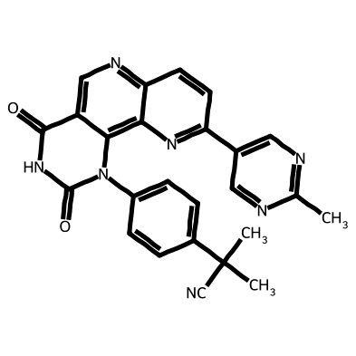 Cc1ncc(-c2ccc3ncc4c(=O)[nH]c(=O)n(-c5ccc(C(C)(C)C#N)cc5)c4c3n2)cn1